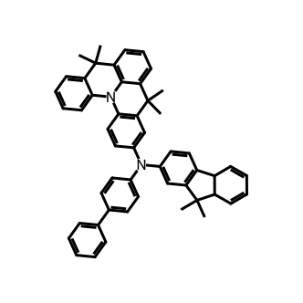 CC1(C)c2ccccc2N2c3ccc(N(c4ccc(-c5ccccc5)cc4)c4ccc5c(c4)C(C)(C)C4C=CC=CC54)cc3C(C)(C)c3cccc1c32